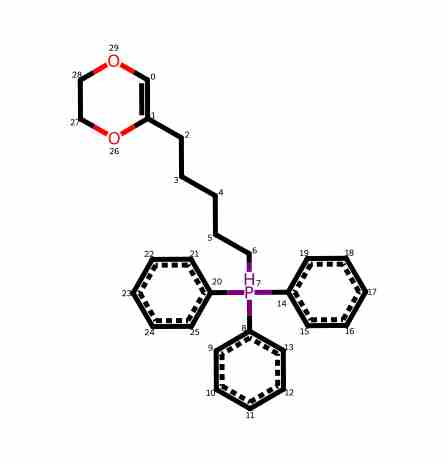 C1=C(CCCCC[PH](c2ccccc2)(c2ccccc2)c2ccccc2)OCCO1